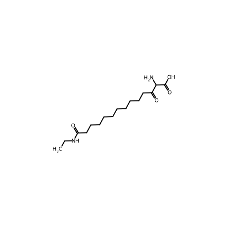 CCNC(=O)CCCCCCCCCCC(=O)C(N)C(=O)O